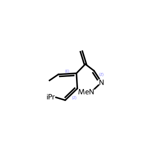 C=C(/C=N\NC)C(/C=C\C(C)C)=C/C